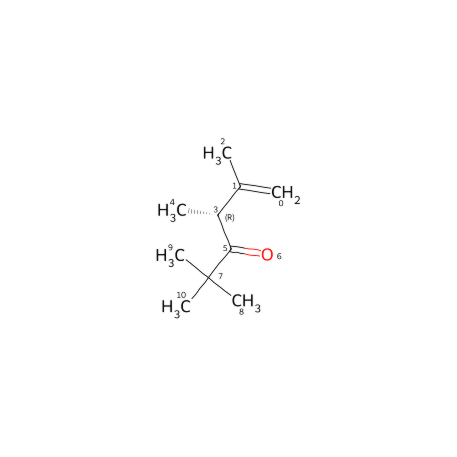 C=C(C)[C@@H](C)C(=O)C(C)(C)C